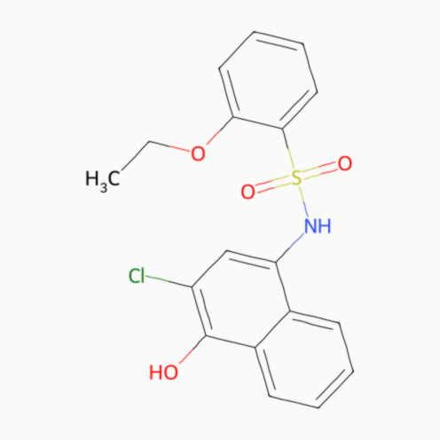 CCOc1ccccc1S(=O)(=O)Nc1cc(Cl)c(O)c2ccccc12